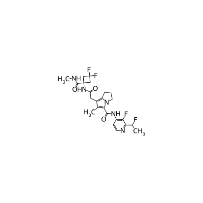 CNC(=O)C1(NC(=O)Cc2c(C)c(C(=O)Nc3ccnc(C(C)F)c3F)n3c2CCC3)CC(F)(F)C1